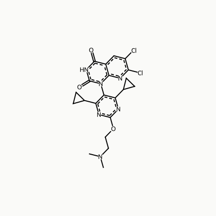 CN(C)CCOc1nc(C2CC2)c(-n2c(=O)[nH]c(=O)c3cc(Cl)c(Cl)nc32)c(C2CC2)n1